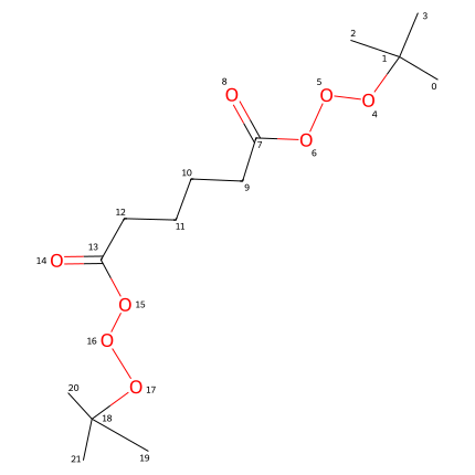 CC(C)(C)OOOC(=O)CCCCC(=O)OOOC(C)(C)C